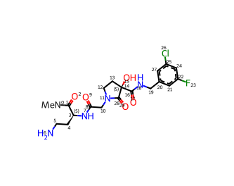 CNC(=O)[C@H](CCN)NC(=O)CN1CC[C@](O)(C(=O)NCc2cc(F)cc(Cl)c2)C1=O